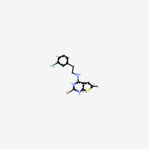 CCc1nc(NCCc2cccc(Cl)c2)c2cc(C)sc2n1